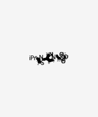 CC(C)c1csc(-c2cc[n+](CCS(=O)(=O)[O-])nc2)n1